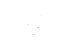 CCOc1cccc(OCC)c1C(=O)P(=O)(CC)C(=O)c1c(C)cc(C)cc1C